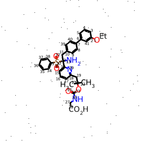 CCOc1cccc(-c2ccc(CC(N)(c3cccc(CC(C)(C)OC(=O)NCC(=O)O)n3)S(=O)(=O)c3ccccc3)cc2)c1